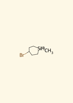 CC[SiH]1CCC(Br)CC1